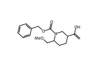 C=C(O)C1CCC(COC)N(C(=O)OCc2ccccc2)C1